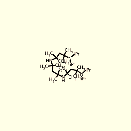 CC(C)N(C(C)C)C(C)(C)CC(C)(C)NC(C)(C)CC(C)(C)NC(C)(C)CC(C)(C)N(C(C)C)C(C)C